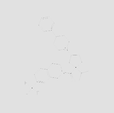 CC(C)C1(C(=O)N2CCc3ccc(C(F)(F)F)cc3C2)CCC(N2CCC(c3ccccc3)CC2)C1